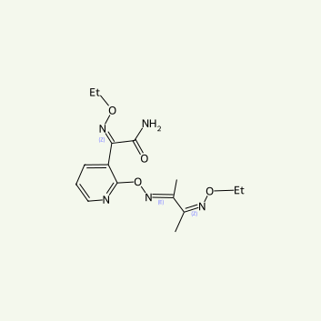 CCO/N=C(C)\C(C)=N\Oc1ncccc1/C(=N/OCC)C(N)=O